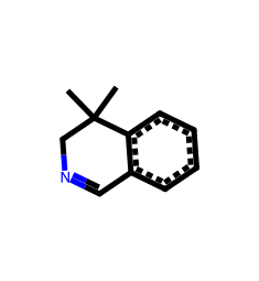 CC1(C)CN=Cc2ccccc21